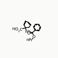 CCCC1(C(=O)O)C=CC=CC1.CCCOC(=O)c1ccccc1